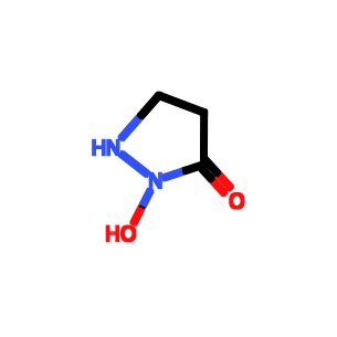 O=C1CCNN1O